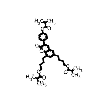 C=C(C)C(=O)OCCCCc1cc(CCCCOC(=O)C(C)C)c2oc(=O)c(-c3ccc(OC(=O)C(=C)C)cc3)cc2c1